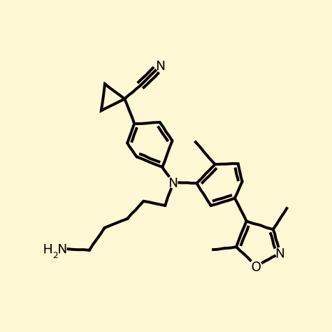 Cc1ccc(-c2c(C)noc2C)cc1N(CCCCCN)c1ccc(C2(C#N)CC2)cc1